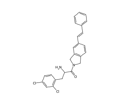 NC(Cc1ccc(Cl)cc1Cl)C(=O)N1Cc2ccc(C=Cc3ccccc3)cc2C1